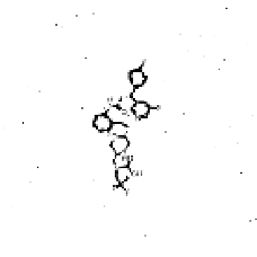 O=C(C[C@H](c1ccc(F)cc1)c1cncc(F)c1)Nc1cccc(F)c1CC[C@@H]1CN[C@@H](CN(CC(F)(F)F)C(=O)O)CO1